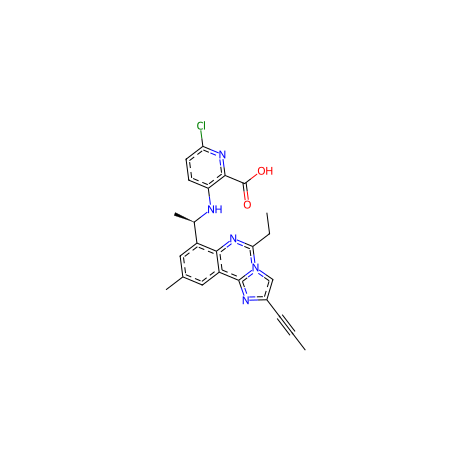 CC#Cc1cn2c(CC)nc3c([C@@H](C)Nc4ccc(Cl)nc4C(=O)O)cc(C)cc3c2n1